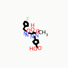 COc1nc(-c2ccc(C(=O)O)cc2)nc(-c2nnc(Cc3ccc(F)cc3)o2)c1O